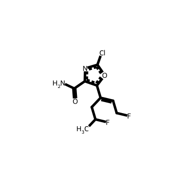 CC(F)C/C(=C\CF)c1oc(Cl)nc1C(N)=O